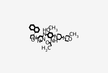 C=CC(=O)Nc1cc(Nc2cc(N3OCC[C@@H]3c3cccc4ccccc34)ncn2)c(OC)cc1N1CCC(N2CCO[C@H](C)C2)CC1